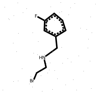 Fc1cccc(CNCCBr)c1